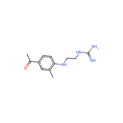 CC(=O)c1ccc(NCCNC(=N)N)c(C)c1